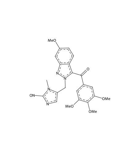 COc1ccc2c(C(=O)c3cc(OC)c(OC)c(OC)c3)n(Cc3cnc(N=O)n3C)nc2c1